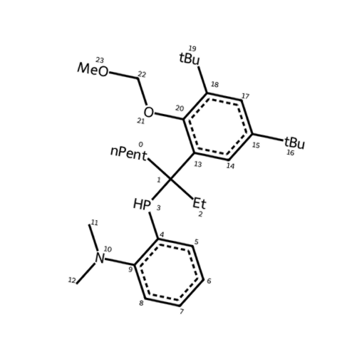 CCCCCC(CC)(Pc1ccccc1N(C)C)c1cc(C(C)(C)C)cc(C(C)(C)C)c1OCOC